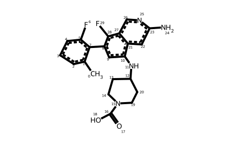 Cc1cccc(F)c1-c1cc(NC2CCN(C(=O)O)CC2)c2cc(N)ncc2c1F